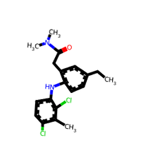 CCc1ccc(Nc2ccc(Cl)c(C)c2Cl)c(CC(=O)N(C)C)c1